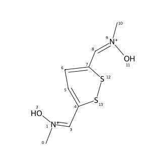 C[N+](O)=CC1=CC=C(C=[N+](C)O)SS1